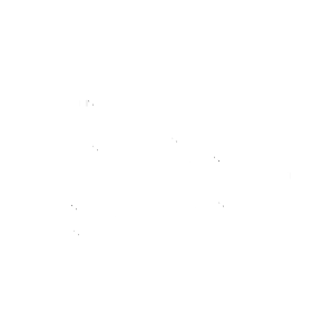 CC(=O)Nc1cc(Nc2cc(C)nc(C(C)(F)F)n2)c(OCc2cnn(C3CCC3)c2)cn1